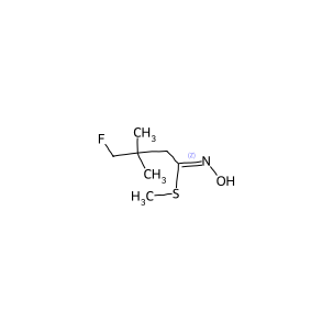 CS/C(CC(C)(C)CF)=N\O